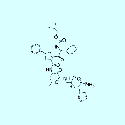 CCCC(NC(=O)C1C[C@@H](c2ccccc2)CN1C(=O)[C@@H](NC(=O)OCC(C)C)C1CCCCC1)C(=O)C(=O)NCC(=O)N[C@H](C(N)=O)c1ccccc1